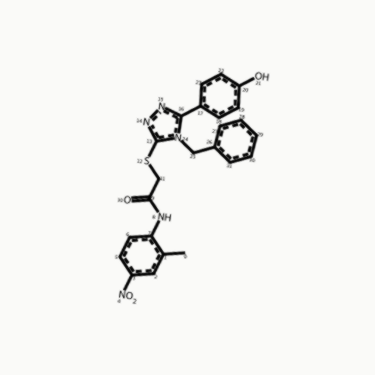 Cc1cc([N+](=O)[O-])ccc1NC(=O)CSc1nnc(-c2ccc(O)cc2)n1Cc1ccccc1